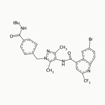 Cc1nn(Cc2ccc(C(=O)NC(C)(C)C)cc2)c(C)c1NC(=O)c1cc(C(F)(F)F)nc2ccc(Br)cc12